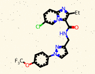 CCc1nc2ccc(Cl)cn2c1C(=O)NCc1ccn(-c2ccc(OC(F)(F)F)cc2)n1